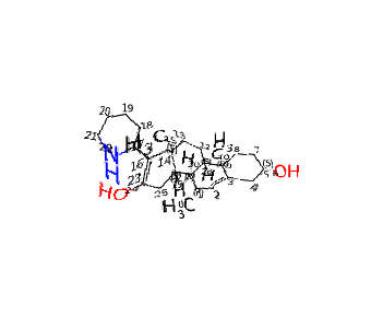 C[C@H]1C=C2C[C@@H](O)CC[C@]2(C)[C@H]2CC[C@]3(C)C(C4CCCCN4)=C(O)C[C@H]3[C@H]12